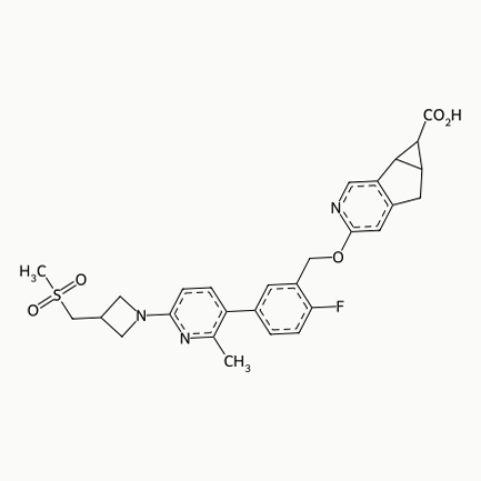 Cc1nc(N2CC(CS(C)(=O)=O)C2)ccc1-c1ccc(F)c(COc2cc3c(cn2)C2C(C3)C2C(=O)O)c1